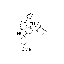 COC1CCC(C#N)(c2cc(N3CCOC[C@H]3C)nc3c(-c4ccn[nH]4)nccc23)CC1